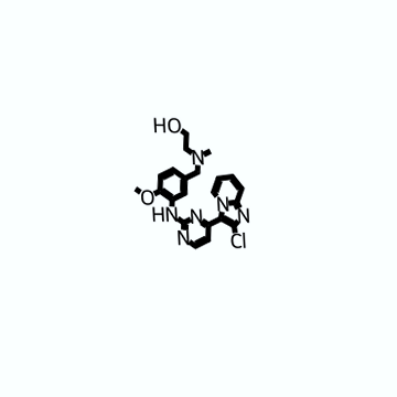 COc1ccc(CN(C)CCO)cc1Nc1nccc(-c2c(Cl)nc3ccccn23)n1